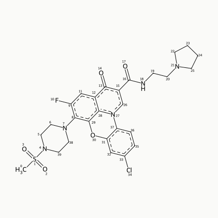 CS(=O)(=O)N1CCN(c2c(F)cc3c(=O)c(C(=O)NCCN4CCCC4)cn4c3c2Oc2cc(Cl)ccc2-4)CC1